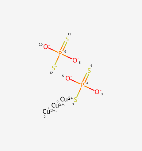 [Cu+2].[Cu+2].[Cu+2].[O-]P([O-])(=S)[S-].[O-]P([O-])(=S)[S-]